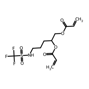 C=CC(=O)OCC(CCCNS(=O)(=O)C(F)(F)F)OC(=O)C=C